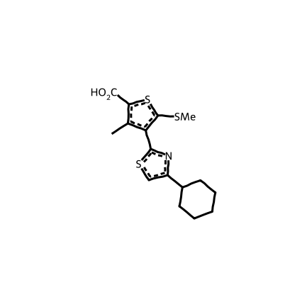 CSc1sc(C(=O)O)c(C)c1-c1nc(C2CCCCC2)cs1